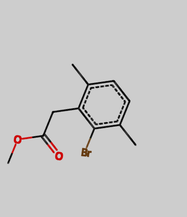 COC(=O)Cc1c(C)ccc(C)c1Br